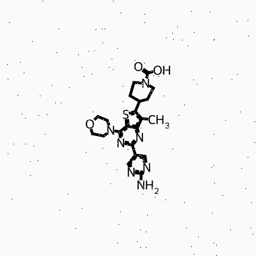 Cc1c(C2CCN(C(=O)O)CC2)sc2c(N3CCOCC3)nc(-c3cnc(N)nc3)nc12